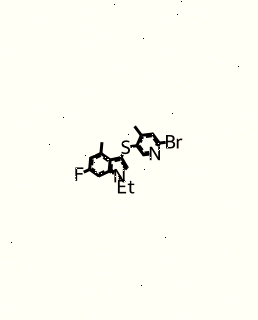 CCn1cc(Sc2cnc(Br)cc2C)c2c(C)cc(F)cc21